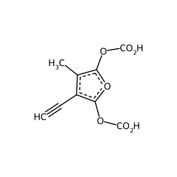 C#Cc1c(OC(=O)O)oc(OC(=O)O)c1C